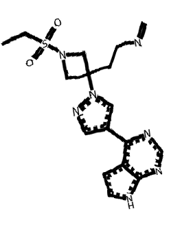 C=NCCC1(n2cc(-c3ncnc4[nH]ccc34)cn2)CN(S(=O)(=O)CC)C1